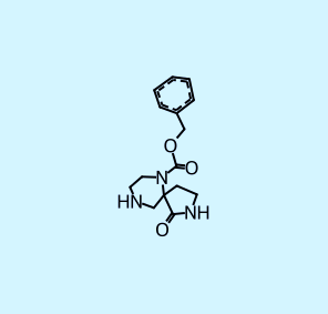 O=C(OCc1ccccc1)N1CCNCC12CCNC2=O